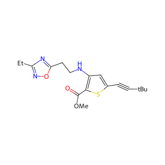 CCc1noc(CCNc2cc(C#CC(C)(C)C)sc2C(=O)OC)n1